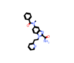 CN(C(=O)c1ccccc1)c1ccc2c(c1)nc(C(N)=O)n2CCc1ccccn1